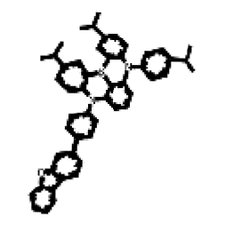 CC(C)c1ccc(N2c3ccc(C(C)C)cc3B3c4cc(C(C)C)ccc4N(c4ccc(-c5ccc6c(c5)oc5ccccc56)cc4)c4cccc2c43)cc1